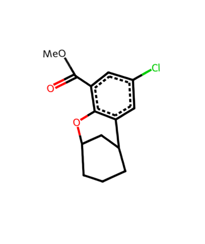 COC(=O)c1cc(Cl)cc2c1OC1CCCC2C1